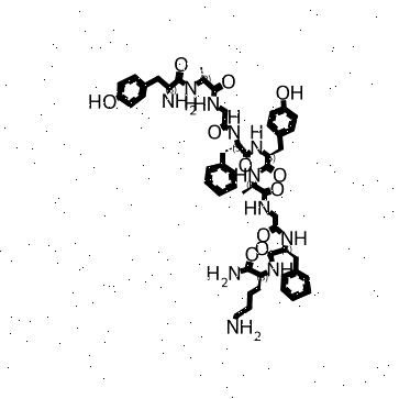 C[C@@H](NC(=O)[C@H](Cc1ccc(O)cc1)NC(=O)[C@H](Cc1ccccc1)NC(=O)CNC(=O)[C@@H](C)NC(=O)[C@@H](N)Cc1ccc(O)cc1)C(=O)NCC(=O)N[C@@H](Cc1ccccc1)C(=O)N[C@@H](CCCCN)C(N)=O